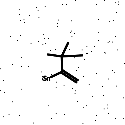 C=[C]([Sn])C(C)(C)C